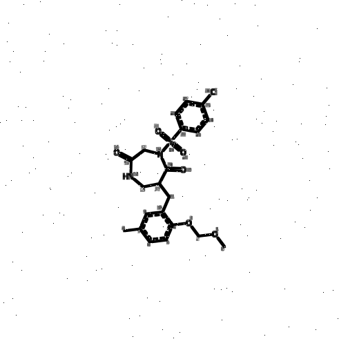 COCOc1ccc(C)cc1CC1CNC(=O)CN(S(=O)(=O)c2ccc(Cl)cc2)C1=O